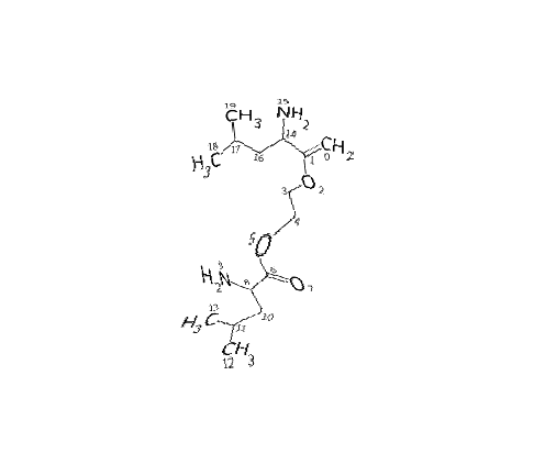 C=C(OCCOC(=O)C(N)CC(C)C)C(N)CC(C)C